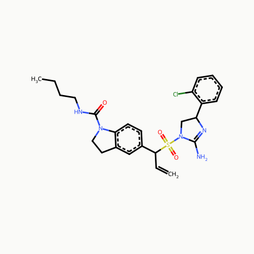 C=CC(c1ccc2c(c1)CCN2C(=O)NCCCC)S(=O)(=O)N1CC(c2ccccc2Cl)N=C1N